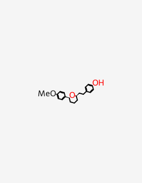 COc1ccc([C@@H]2CCC[C@H](CCc3ccc(O)cc3)O2)cc1